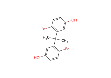 CC(C)(c1cc(O)ccc1Br)c1cc(O)ccc1Br